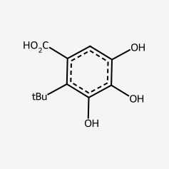 CC(C)(C)c1c(C(=O)O)cc(O)c(O)c1O